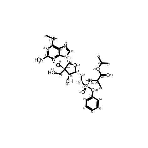 CNc1nc(N)nc2c1ncn2[C@@H]1O[C@H](CO[P@@](=O)(NC(C)C(=O)OC(C)C)Oc2ccccc2)[C@@H](O)[C@]1(Cl)CO